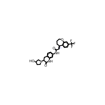 O=C(/C=C1\CCCOc2cc(C(F)(F)F)ccc21)Nc1ccc2c(c1)NC(=O)C(N1CC[C@@H](O)C1)C2